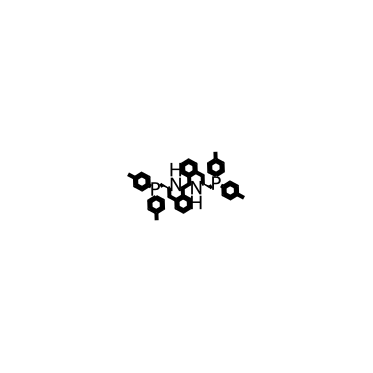 Cc1ccc(P(C[C@@H]2Cc3ccccc3[C@@H]([C@H]3N[C@H](CP(c4ccc(C)cc4)c4ccc(C)cc4)Cc4ccccc43)N2)c2ccc(C)cc2)cc1